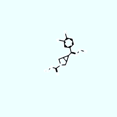 CCO/N=C(\c1ccc(Cl)c(Cl)c1)C1C2CN(C(=O)OC(C)(C)C)CC21